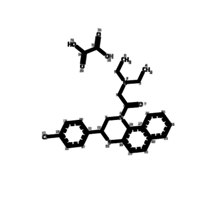 CCN(CC)CC(=O)N1CC(c2ccc(Cl)cc2)Sc2ccc3ccccc3c21.O=C(O)C(=O)O